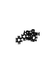 C[C@@](NC(=O)c1ccc(-c2ccccc2)cc1N)(C(=O)O)C1CCCCC1